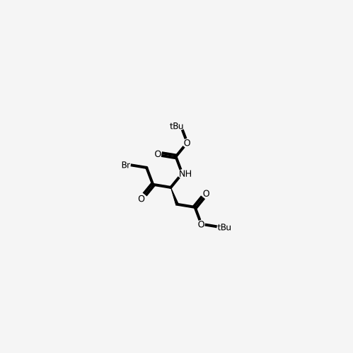 CC(C)(C)OC(=O)C[C@H](NC(=O)OC(C)(C)C)C(=O)CBr